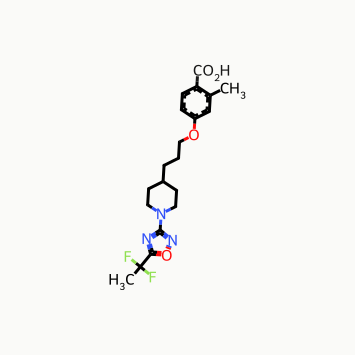 Cc1cc(OCCCC2CCN(c3noc(C(C)(F)F)n3)CC2)ccc1C(=O)O